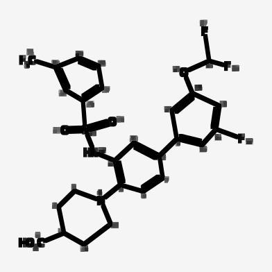 O=C(O)C1CCN(c2ccc(-c3cc(F)cc(OC(F)F)c3)cc2NS(=O)(=O)c2cccc(C(F)(F)F)c2)CC1